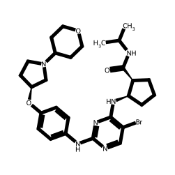 CC(C)NC(=O)[C@H]1CCC[C@H]1Nc1nc(Nc2ccc(O[C@H]3CCN(C4CCOCC4)C3)cc2)ncc1Br